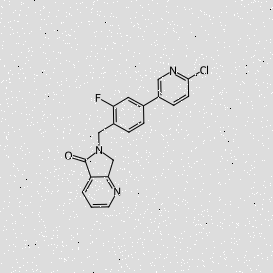 O=C1c2cccnc2CN1Cc1ccc(-c2ccc(Cl)nc2)cc1F